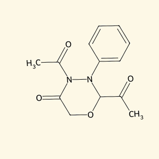 CC(=O)C1OCC(=O)N(C(C)=O)N1c1ccccc1